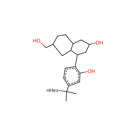 CCCCCCC(C)(C)c1ccc(C2CC(O)CC3CCC(CO)CC32)c(O)c1